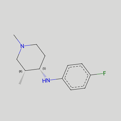 C[C@@H]1CN(C)CC[C@@H]1Nc1ccc(F)cc1